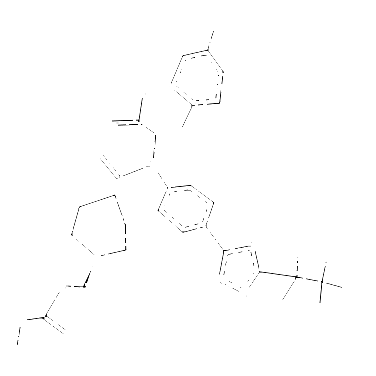 CC(C)(C)OC(=O)NC[C@H]1CC[C@H](C(=O)N(c2ccc(-c3nc(C(F)(F)C(F)(F)C(F)(F)F)n[nH]3)cc2)[C@@H](Cc2ccc(Br)cc2)C(N)=O)CC1